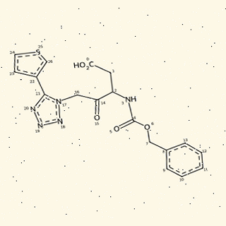 O=C(O)CC(NC(=O)OCc1ccccc1)C(=O)Cn1nnnc1-c1ccsc1